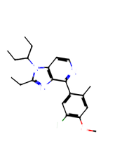 CCc1nc2c(-c3cc(F)c(OC)cc3C)nccc2n1C(CC)CC